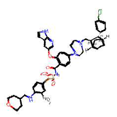 O=C(NS(=O)(=O)c1ccc(NCC2CCOCC2)c([N+](=O)[O-])c1)c1ccc(N2CCN(C[C@@H]3[C@H]4CC[C@H](C4)[C@H]3c3ccc(Cl)cc3)CC2)cc1Oc1cnc2[nH]ccc2c1